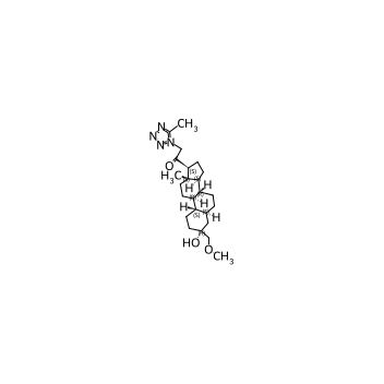 COC[C@@]1(O)CC[C@H]2[C@@H](CC[C@@H]3[C@@H]2CC[C@]2(C)[C@@H](C(=O)Cn4nnnc4C)CC[C@@H]32)C1